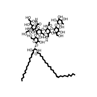 CCCCCCCC/C=C\CCCCCCCCCCCCCC(=O)N[C@@H](CO[C@@H]1OC(CO)[C@@H](O[C@@H]2OC(CO)[C@H](O[C@@H]3OC(CO)[C@H](O)[C@H](O[C@@H]4OC(CO)[C@H](O)[C@H](O)C4O[C@H]4OC(C)[C@@H](O)C(O)[C@@H]4O)C3NC(C)=O)[C@H](O[C@]3(C(=O)O)CC(O)[C@@H](NC(=O)CO)C([C@H](O)[C@H](O)CO)O3)C2O)[C@H](O)C1O)[C@H](O)/C=C/CCCCCCCCCCCCC